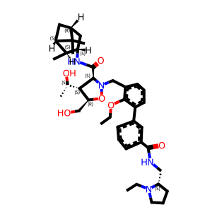 CCOc1c(CN2O[C@@H](CO)[C@H]([C@H](C)O)[C@H]2C(=O)N[C@H]2C[C@H]3C[C@@H]([C@@H]2C)C3(C)C)cccc1-c1cccc(C(=O)NC[C@@H]2CCCN2CC)c1